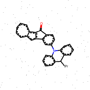 CC(C)C1c2ccccc2N(c2ccc3c(c2)-c2cc4cccccc-4c2C3=O)c2ccccc21